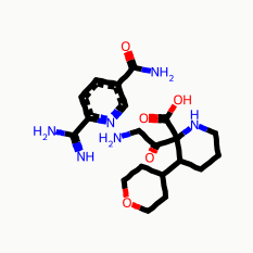 N=C(N)c1ccc(C(N)=O)cn1.NCC(=O)C1(C(=O)O)NCCCC1C1CCOCC1